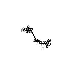 CC(=O)c1c(C)c2cnc(Nc3ccc(N4CCN(C(=O)CCCCCCCNc5cccc6c5C(=O)N(C5CCC(=O)NC5=O)C6=O)CC4)cn3)nc2n(C2CCCC2)c1=O